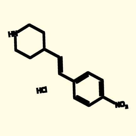 Cl.O=[N+]([O-])c1ccc(C=CC2CCNCC2)cc1